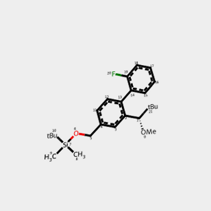 CO[C@H](c1cc(CO[Si](C)(C)C(C)(C)C)ccc1-c1ccccc1F)C(C)(C)C